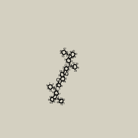 c1ccc(N(c2ccc3c(c2)oc2c3ccc3c2ccc2c4ccc(N(c5ccccc5)c5ccc6c(c5)c5ccccc5n6-c5ccccc5)cc4oc23)c2ccc3c(c2)c2ccccc2n3-c2ccccc2)cc1